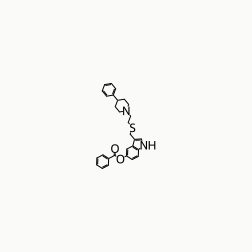 O=C(Oc1ccc2[nH]cc(CSCCN3CCC(c4ccccc4)CC3)c2c1)c1ccccc1